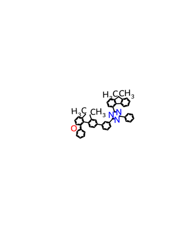 CCc1cc(-c2cccc(-c3nc(-c4ccccc4)nc(-c4cccc5c4-c4ccccc4C5(C)C)n3)c2)ccc1-c1c(CC)ccc2oc3ccccc3c12